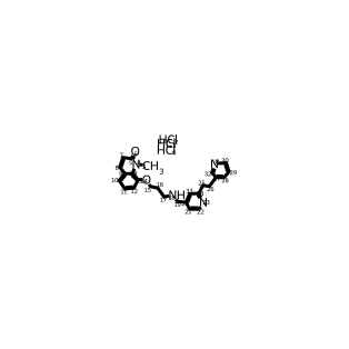 Cl.Cl.Cl.Cn1c(=O)ccc2cccc(OCCCNCc3ccnc(CCc4cccnc4)c3)c21